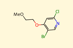 COCCOc1cc(Cl)ncc1Br